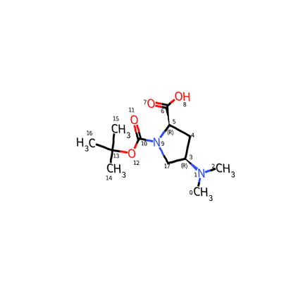 CN(C)[C@@H]1C[C@H](C(=O)O)N(C(=O)OC(C)(C)C)C1